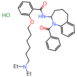 CCN(CC)CCCCCCOc1ccccc1C(=O)NC1CCCc2ccccc2N1C(=O)c1ccccc1.Cl